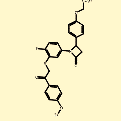 CCOc1ccc(C(=O)CSc2cc(N3C(=O)CC3c3ccc(OCC(=O)O)cc3)ccc2F)cc1